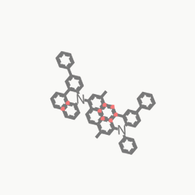 Cc1cc(N(c2ccccc2)c2ccc(-c3ccccc3)cc2-c2ccccc2)c2ccc3c(C)cc(N(c4ccccc4)c4ccc(-c5ccccc5)cc4-c4ccccc4)c4ccc1c2c34